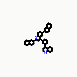 c1cc(-c2ccnc3ccccc23)cc(-c2cc(-c3ccc4ccccc4c3)nc3ccc(-c4ccc5ccccc5c4)cc23)c1